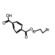 O=C(O)c1ccc(C(=O)OOCCBr)cc1